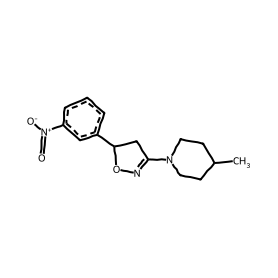 CC1CCN(C2=NOC(c3cccc([N+](=O)[O-])c3)C2)CC1